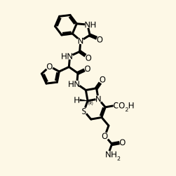 NC(=O)OCC1=C(C(=O)O)N2C(=O)C(NC(=O)C(NC(=O)n3c(=O)[nH]c4ccccc43)c3ccco3)[C@H]2SC1